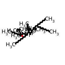 CCCCCCCCCCC(CCCCCCCC)Cc1cc(-c2c(F)c(F)c(-c3cc(CC(CCCCCCCC)CCCCCCCCCC)c(-c4cc(C)c(-c5sc(C)cc5C)s4)s3)c3nn(CCC)nc23)sc1C